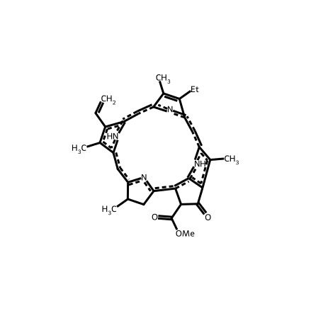 C=Cc1c(C)c2cc3nc(c4c5[nH]c(cc6nc(cc1[nH]2)C(C)=C6CC)c(C)c5C(=O)C4C(=O)OC)CC3C